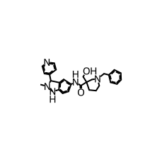 CN1Nc2ccc(NC(=O)C3(CO)CCCN(Cc4ccccc4)C3)cc2C1c1ccncc1